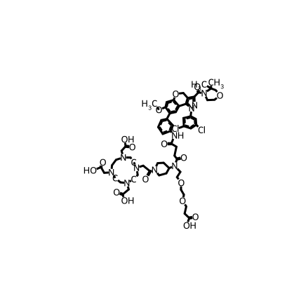 COc1cc2c(cc1-c1cccc(NC(=O)CCC(=O)N(CCOCCOCCC(=O)O)C3CCN(C(=O)CN4CCN(CC(=O)O)CCN(CC(=O)O)CCN(CC(=O)O)CC4)CC3)c1)-c1c(c(C(=O)N3CCOCC3(C)C)nn1-c1cc(Cl)cc(Cl)c1)CO2